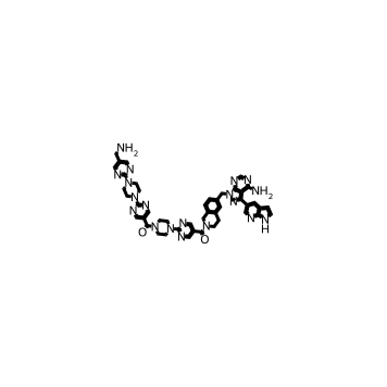 NCc1cnc(N2CCN(c3ncc(C(=O)N4CCN(c5ncc(C(=O)N6CCc7cc(Cn8nc(-c9cnc%10[nH]ccc%10c9)c9c(N)ncnc98)ccc7C6)cn5)CC4)cn3)CC2)nc1